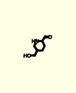 O=CC1CCC(CO)CN1